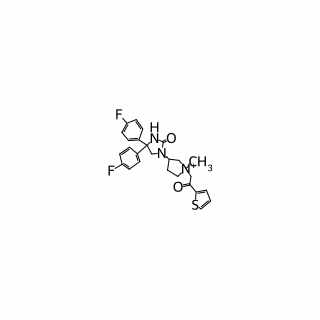 C[N+]1(CC(=O)c2cccs2)CC[C@@H](N2CC(c3ccc(F)cc3)(c3ccc(F)cc3)NC2=O)C1